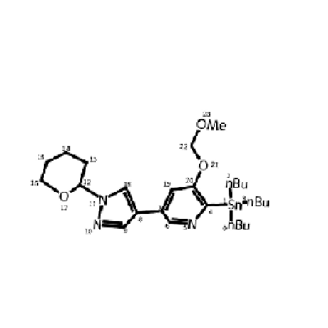 CCC[CH2][Sn]([CH2]CCC)([CH2]CCC)[c]1ncc(-c2cnn(C3CCCCO3)c2)cc1OCOC